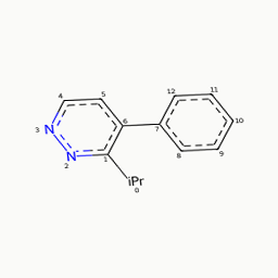 CC(C)c1nnccc1-c1ccccc1